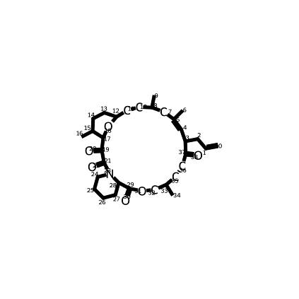 C=CCC1C=C(C)CC(C)CCC2CCC(C)C(O2)C(=O)C(=O)N2CCCCC2C(=O)OCC(C)CCC1=O